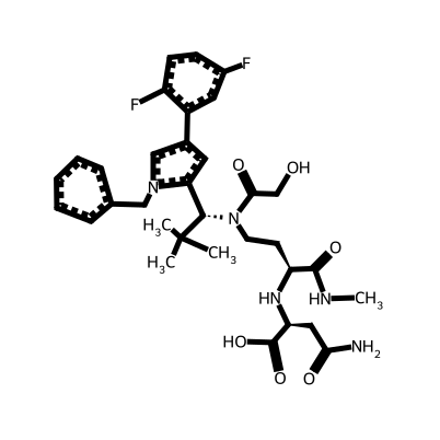 CNC(=O)[C@H](CCN(C(=O)CO)[C@@H](c1cc(-c2cc(F)ccc2F)cn1Cc1ccccc1)C(C)(C)C)N[C@@H](CC(N)=O)C(=O)O